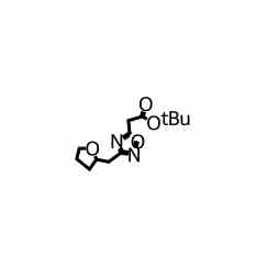 CC(C)(C)OC(=O)Cc1nc(CC2CCCO2)no1